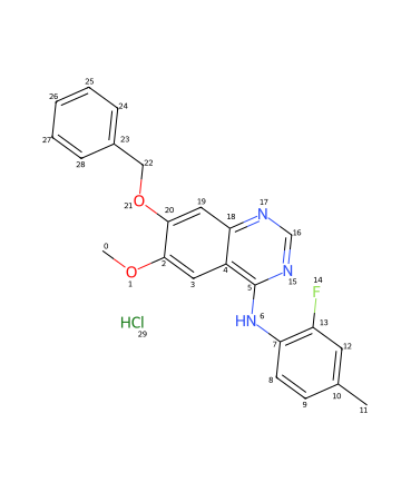 COc1cc2c(Nc3ccc(C)cc3F)ncnc2cc1OCc1ccccc1.Cl